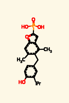 Cc1cc2oc(P(=O)(O)O)cc2c(C)c1Cc1ccc(O)c(C(C)C)c1